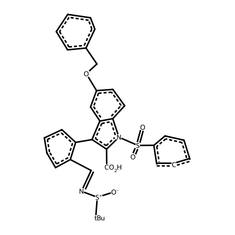 CC(C)(C)[S+]([O-])N=Cc1ccccc1-c1c(C(=O)O)n(S(=O)(=O)c2ccccc2)c2ccc(OCc3ccccc3)cc12